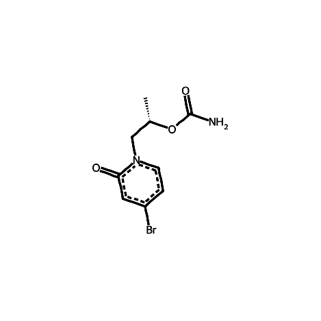 C[C@@H](Cn1ccc(Br)cc1=O)OC(N)=O